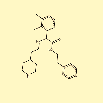 Cc1cccc(C(NCCC2CCNCC2)C(=O)NCCc2ccncc2)c1C